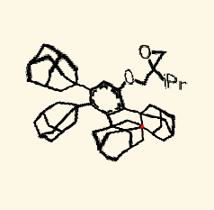 CC(C)C1(COc2cc(C34CC5CC(CC(C5)C3)C4)c(C34CC5CC(CC(C5)C3)C4)c(C34CC5CC(CC(C5)C3)C4)c2C23CC4CC(CC(C4)C2)C3)CO1